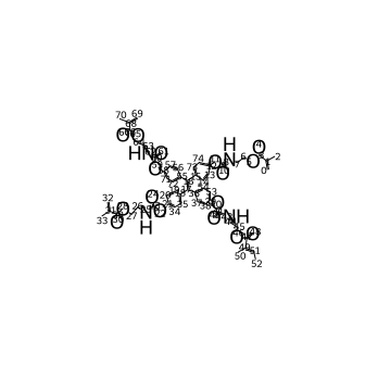 C=C(C)C(=O)OCCNC(=O)Oc1ccc(C(=C(c2ccc(OC(=O)NCCOC(=O)C(=C)C)cc2)c2ccc(OC(=O)NCCOC(=O)/C(C)=C/C)cc2)c2ccc(OC(=O)NCCOC(=O)C(=C)C)cc2)cc1